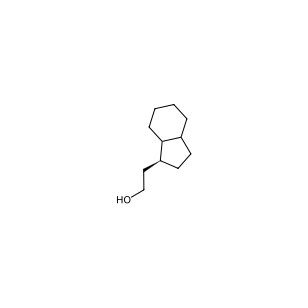 OCC[C@@H]1CCC2CCCCC21